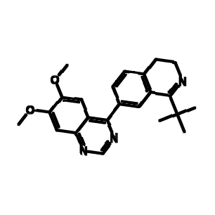 COc1cc2ncnc(-c3ccc4c(c3)C(C(C)(C)C)=NCC4)c2cc1OC